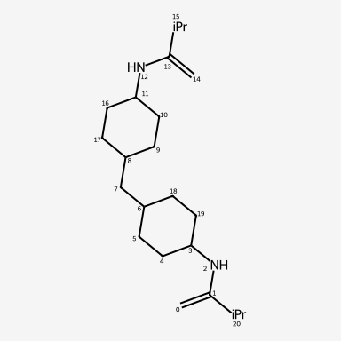 C=C(NC1CCC(CC2CCC(NC(=C)C(C)C)CC2)CC1)C(C)C